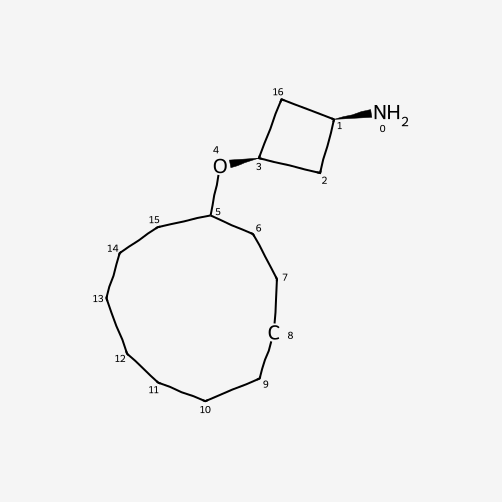 N[C@H]1C[C@@H](OC2CCCCCCCCCC2)C1